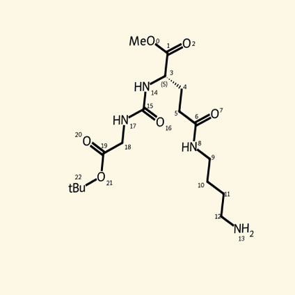 COC(=O)[C@H](CCC(=O)NCCCCN)NC(=O)NCC(=O)OC(C)(C)C